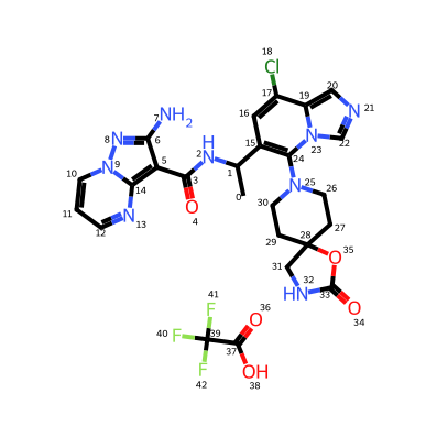 CC(NC(=O)c1c(N)nn2cccnc12)c1cc(Cl)c2cncn2c1N1CCC2(CC1)CNC(=O)O2.O=C(O)C(F)(F)F